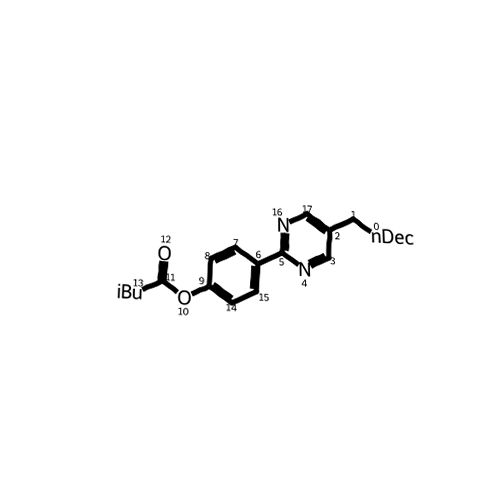 CCCCCCCCCCCc1cnc(-c2ccc(OC(=O)C(C)CC)cc2)nc1